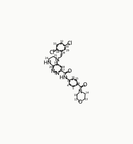 O=C(Nc1ccc(C(=O)N2CCOCC2)cc1)c1cc2c(nn1)NCCN2Cc1cc(Cl)ccc1Cl